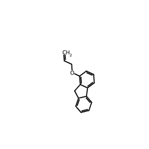 C=CCOc1cccc2c1Cc1ccccc1-2